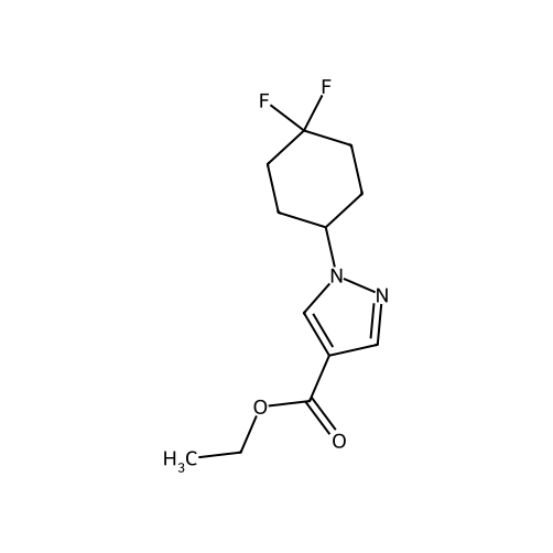 CCOC(=O)c1cnn(C2CCC(F)(F)CC2)c1